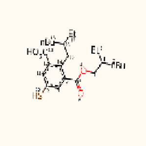 CCCCC(CC)COC(=O)c1cc(S)cc(C(=O)O)c1CC(CC)CCCC